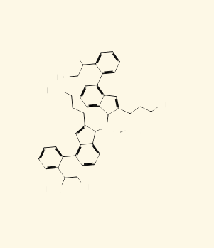 CCCCC1=Cc2c(-c3ccccc3C(C)CC)cccc2[CH]1[Hf]([CH]1C(CCCC)=Cc2c(-c3ccccc3C(C)CC)cccc21)[SiH](C)C